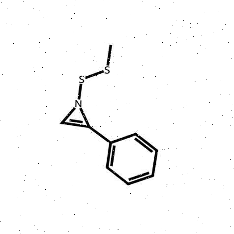 CSSN1C=C1c1ccccc1